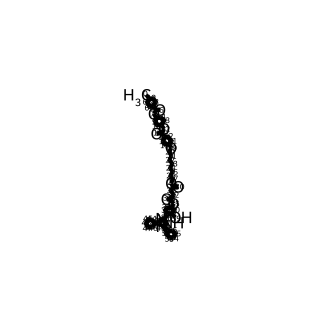 Cc1ccc(C(=O)Oc2ccc(OC(=O)c3ccc(OCCCCCCCCOC(=O)CCC(=O)Oc4ccc(C5N=C(c6ccccc6)N=C(c6ccccc6)N5)c(O)c4)cc3)cc2)cc1